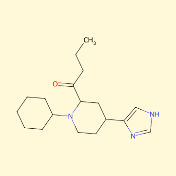 CCCC(=O)C1CC(c2c[nH]cn2)CCN1C1CCCCC1